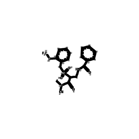 CN(C#N)C(=O)C(CNC(=O)c1ccccc1)S(=O)(=O)Cc1ccccc1OC(F)(F)F